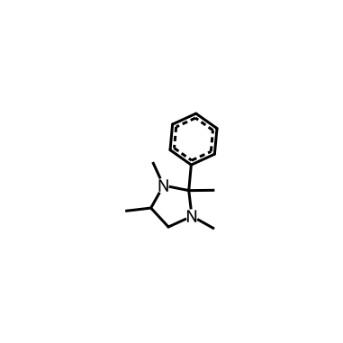 CC1CN(C)C(C)(c2ccccc2)N1C